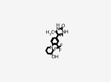 C[C@@H]1NC(=O)NN=C1c1ccc(N2CCC[C@@H](O)C2)c(C(F)(F)F)c1